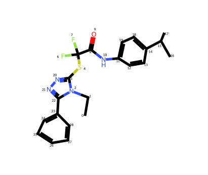 CCn1c(SC(F)(F)C(=O)Nc2ccc(C(C)C)cc2)nnc1-c1ccccc1